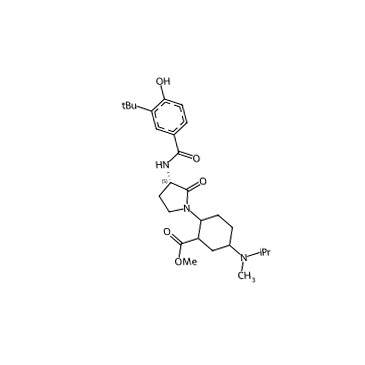 COC(=O)C1CC(N(C)C(C)C)CCC1N1CC[C@H](NC(=O)c2ccc(O)c(C(C)(C)C)c2)C1=O